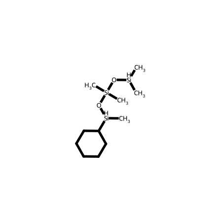 C[SiH](C)O[Si](C)(C)O[SiH](C)C1CCCCC1